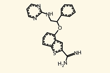 N=C(N)c1cc2c(OC(CNc3ncccn3)c3ccccc3)cccc2s1